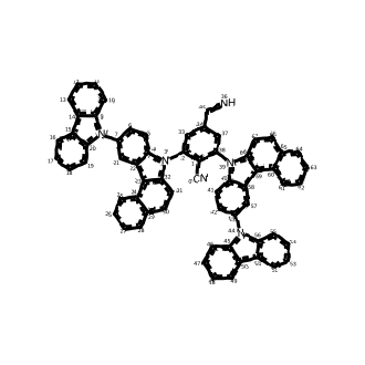 N#Cc1c(-n2c3ccc(-n4c5ccccc5c5ccccc54)cc3c3c4ccccc4ccc32)cc(C=N)cc1-n1c2ccc(-n3c4ccccc4c4ccccc43)cc2c2c3ccccc3ccc21